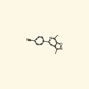 Cc1noc2c(C)nc(-c3ccc(C#N)cc3)cc12